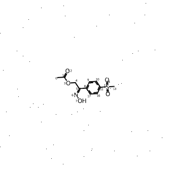 CC(=O)OC/C(=N/O)c1ccc(S(C)(=O)=O)cc1